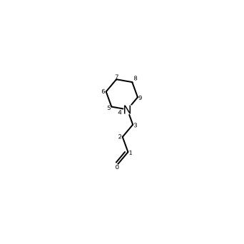 C=CCCN1CCCCC1